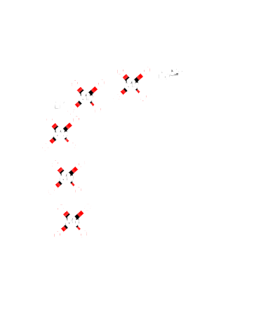 [Co+2].[Li+].[Ni+2].[O]=[Mn](=[O])(=[O])[O-].[O]=[Mn](=[O])(=[O])[O-].[O]=[Mn](=[O])(=[O])[O-].[O]=[Mn](=[O])(=[O])[O-].[O]=[Mn](=[O])(=[O])[O-]